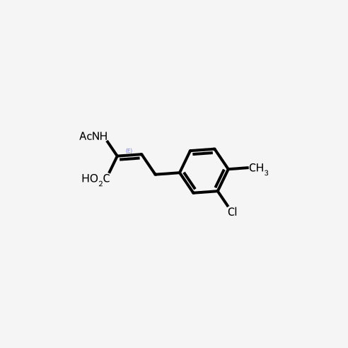 CC(=O)N/C(=C/Cc1ccc(C)c(Cl)c1)C(=O)O